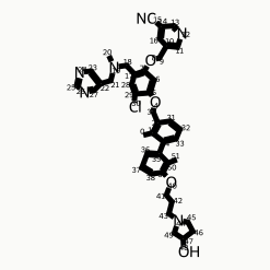 Cc1c(COc2cc(OCc3cncc(C#N)c3)c(CN(C)Cc3cncnc3)cc2Cl)cccc1-c1cccc(OCCCN2CCC(O)C2)c1C